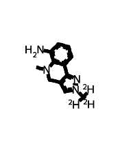 [2H]C([2H])([2H])n1cc2c(n1)-c1cccc(N)c1N(C)C2